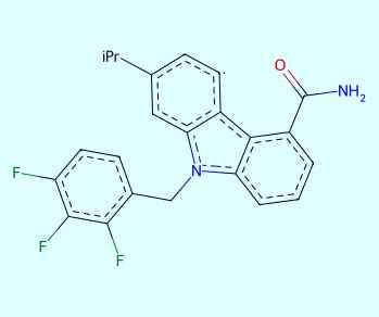 CC(C)c1c[c]c2c3c(C(N)=O)cccc3n(Cc3ccc(F)c(F)c3F)c2c1